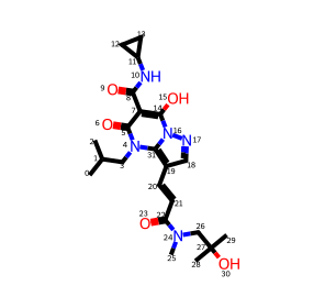 CC(C)Cn1c(=O)c(C(=O)NC2CC2)c(O)n2ncc(/C=C/C(=O)N(C)CC(C)(C)O)c12